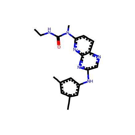 CCNC(=O)N(C)c1ccc2ncc(Nc3cc(C)cc(C)c3)nc2n1